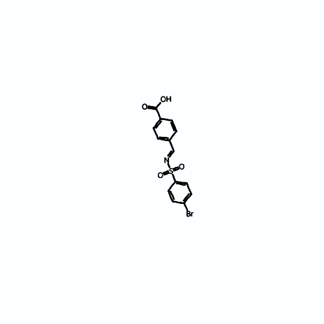 O=C(O)c1ccc(/C=N/S(=O)(=O)c2ccc(Br)cc2)cc1